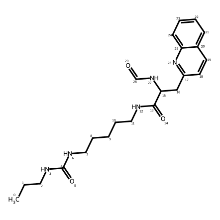 CCCNC(=O)NCCCCCNC(=O)C(Cc1ccc2ccccc2n1)NC=O